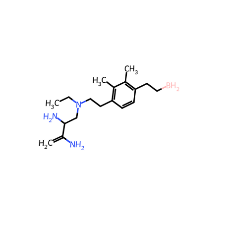 BCCc1ccc(CCN(CC)CC(N)C(=C)N)c(C)c1C